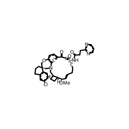 CO[C@H]1/C=C/CCC[S@@](=O)(NC(=O)CCc2ncccn2)=NC(=O)c2ccc3c(c2)N(C[C@@H]2CC[C@H]21)C[C@@]1(CCCc2cc(Cl)ccc21)CO3